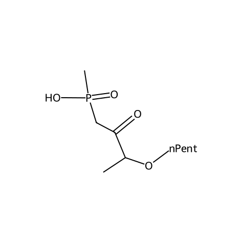 CCCCCOC(C)C(=O)CP(C)(=O)O